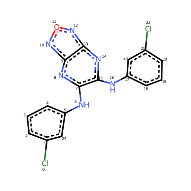 Clc1cccc(Nc2nc3nonc3nc2Nc2cccc(Cl)c2)c1